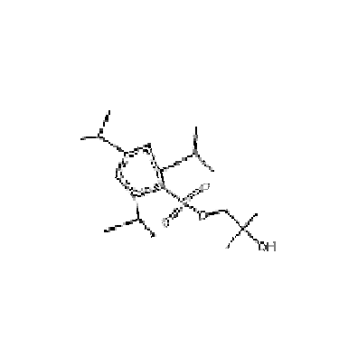 CC(C)c1cc(C(C)C)c(S(=O)(=O)OCC(C)(C)O)c(C(C)C)c1